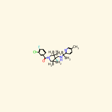 BC(B)(NCC1(F)C(B)(B)CN(C(=O)c2ccc(F)c(Cl)c2)CC1(B)B)c1ccc(C)cn1